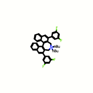 CCCC[N+]1(CCCC)Cc2c(-c3cc(F)cc(F)c3)cc3ccccc3c2-c2c(c(-c3cc(F)cc(F)c3)cc3ccccc23)C1